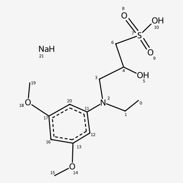 CCN(CC(O)CS(=O)(=O)O)c1cc(OC)cc(OC)c1.[NaH]